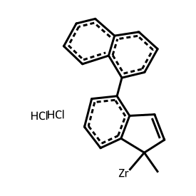 C[C]1([Zr])C=Cc2c(-c3cccc4ccccc34)cccc21.Cl.Cl